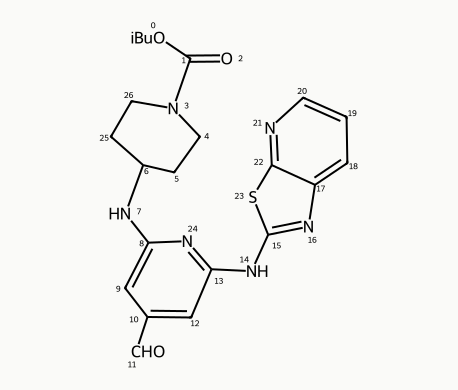 CC(C)COC(=O)N1CCC(Nc2cc(C=O)cc(Nc3nc4cccnc4s3)n2)CC1